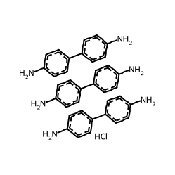 Cl.Nc1ccc(-c2ccc(N)cc2)cc1.Nc1ccc(-c2ccc(N)cc2)cc1.Nc1ccc(-c2ccc(N)cc2)cc1